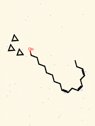 C1CC1.C1CC1.C1CC1.CC/C=C\C/C=C\C/C=C\CCCCCCCCO